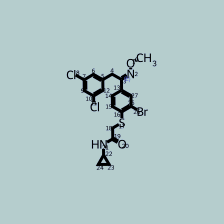 CO/N=C(\Cc1cc(Cl)cc(Cl)c1)c1ccc(SCC(=O)NC2CC2)c(Br)c1